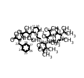 CC[C@H](C)[C@@H]([C@@H](CCN1CCC[C@H]1[C@H](OC)[C@@H](C)C(=O)N[C@@H](Cc1ccccc1)C(C)=O)OC)N(C)C(=O)[C@@H](NC(=O)[C@H](C(C)C)N(C)C)C(C)C